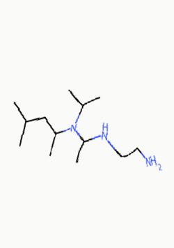 CC(C)CC(C)N(C(C)C)C(C)NCCN